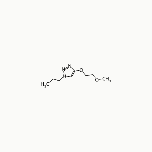 CCCn1cc(OCCOC)nn1